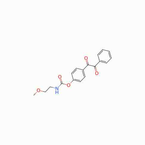 COCCNC(=O)Oc1ccc(C(=O)C(=O)c2ccccc2)cc1